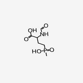 CP(=O)(O)CCC(NC=O)C(=O)O